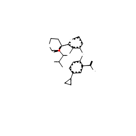 O=C(O)c1cc(C2CC2)ccc1Nc1ccnc(C2=CCOCC2)c1OC(CF)C(F)F